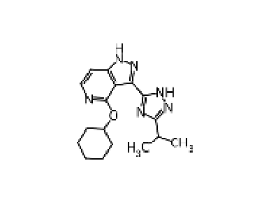 CC(C)c1n[nH]c(-c2n[nH]c3ccnc(OC4CCCCC4)c23)n1